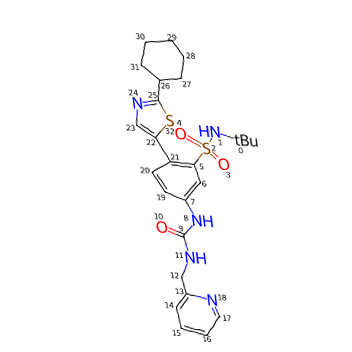 CC(C)(C)NS(=O)(=O)c1cc(NC(=O)NCc2ccccn2)ccc1-c1cnc(C2CCCCC2)s1